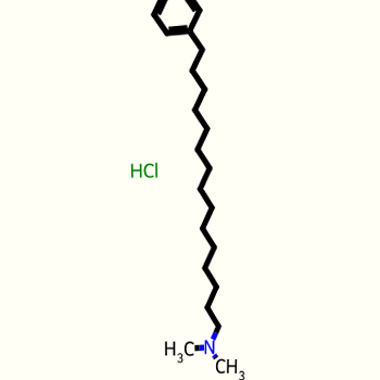 CN(C)CCCCCCCCCCCCCCCc1ccccc1.Cl